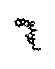 CCOC(=O)CCc1ccc(C#N)c(OC[C@@H](O)CNC(C)(C)CC2Cc3ccccc3C2)c1